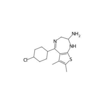 Cc1sc2c(c1C)C(C1CCC(Cl)CC1)=NCC(N)N2